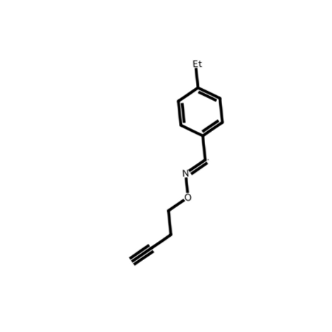 C#CCCON=[C]c1ccc(CC)cc1